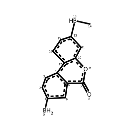 Bc1ccc2c(c1)c(=O)oc1cc(BC)ccc12